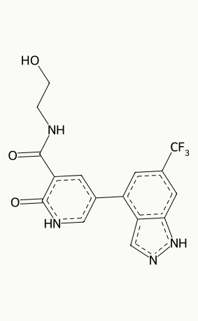 O=C(NCCO)c1cc(-c2cc(C(F)(F)F)cc3[nH]ncc23)c[nH]c1=O